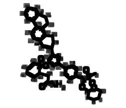 CS(=O)(=O)N(OC1CCCCO1)c1ccc(-c2ccc(C3=Cc4ccc5c(c4CC3)CCc3ccccc3-5)s2)cc1.NC(=O)CC1C=CC=CS1(=O)=O